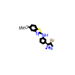 COc1ccc2sc(Nc3cccc(-c4c(Br)cnn4C)c3)nc2c1